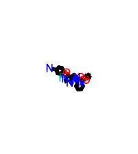 CC(C)(C)OC(=O)N1CCCCC1n1ncc2c(Oc3ccc(C#N)cc3F)ncnc21